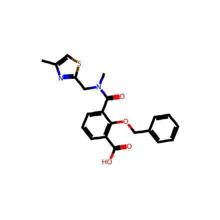 Cc1csc(CN(C)C(=O)c2cccc(C(=O)O)c2OCc2ccccc2)n1